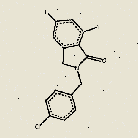 O=C1c2c(I)cc(F)cc2CN1Cc1ccc(Cl)cc1